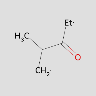 [CH2]C(C)C(=O)[CH]C